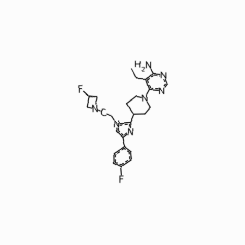 CCc1c(N)ncnc1N1CCC(c2nc(-c3ccc(F)cc3)cn2CCN2CC(F)C2)CC1